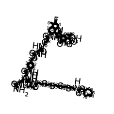 Cc1c(F)cc2nc3c(c4c2c1CC[C@@H]4NC(=O)COCNC(=O)CNC(=O)OCc1ccc(NC(=O)[C@H](CCCNC(N)=O)NC(=O)[C@@H](NC(=O)CCOCCOCCOCCOCCNC(=O)OC2CC/C=C/CCC2)C(C)C)cc1)Cn1c-3cc2c(c1=O)COC(=O)[C@]2(O)C(C)C